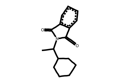 CC(C1CCCCC1)N1C(=O)c2ccccc2C1=O